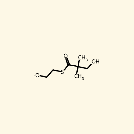 CC(C)(CO)C(=O)SCC[O]